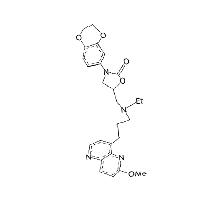 CCN(CCCc1ccnc2ccc(OC)nc12)CC1CN(c2ccc3c(c2)OCCO3)C(=O)O1